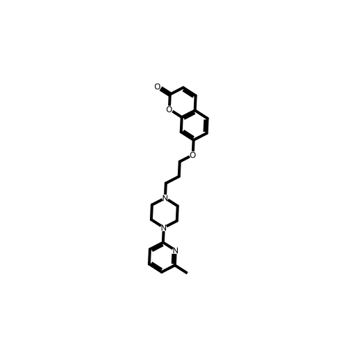 Cc1cccc(N2CCN(CCCOc3ccc4ccc(=O)oc4c3)CC2)n1